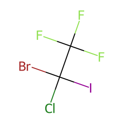 FC(F)(F)C(Cl)(Br)I